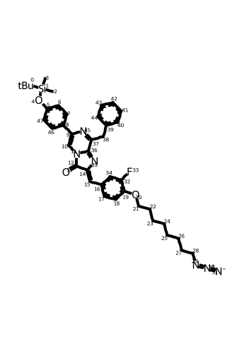 CC(C)(C)[Si](C)(C)Oc1ccc(C2=CN3C(=O)/C(=C/c4ccc(OCCCCCCCCN=[N+]=[N-])c(F)c4)N=C3C(Cc3ccccc3)=N2)cc1